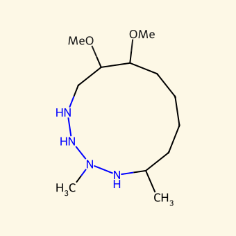 COC1CCCCC(C)NN(C)NNCC1OC